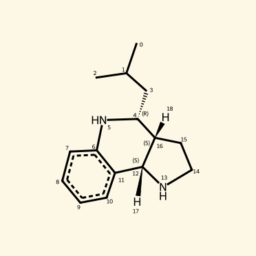 CC(C)C[C@H]1Nc2ccccc2[C@H]2NCC[C@H]21